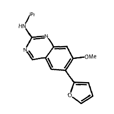 COc1cc2nc(NC(C)C)ncc2cc1-c1ccco1